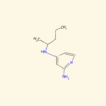 CCCC(C)Nc1ccnc(N)c1